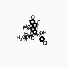 C[C@]12C[C@H](O)[C@@]3(F)[C@@H](C[C@H](F)C4=CC(=O)C=C[C@@]43C)[C@@H]1C[C@@H](CN(O)c1ccc(Cl)cc1)[C@@H]2C(=O)COS(C)(=O)=O